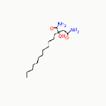 CCCCCCCCCCCCC(O)(CC(N)=O)C(N)=O